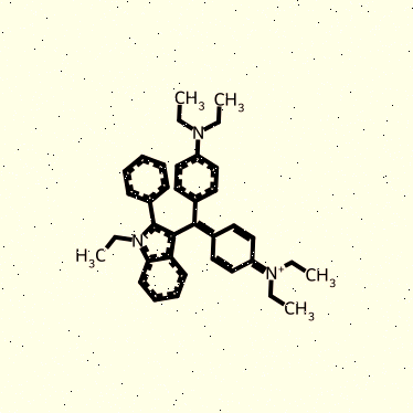 CCN(CC)c1ccc(C(=C2C=CC(=[N+](CC)CC)C=C2)c2c(-c3ccccc3)n(CC)c3ccccc23)cc1